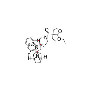 CCOC(=O)C(CC)(CC)C(=O)N1CCC(CCN2[C@@H]3CC[C@H]2C[C@@H](n2c(C)nc4ccccc42)C3)(c2cccc(F)c2)CC1